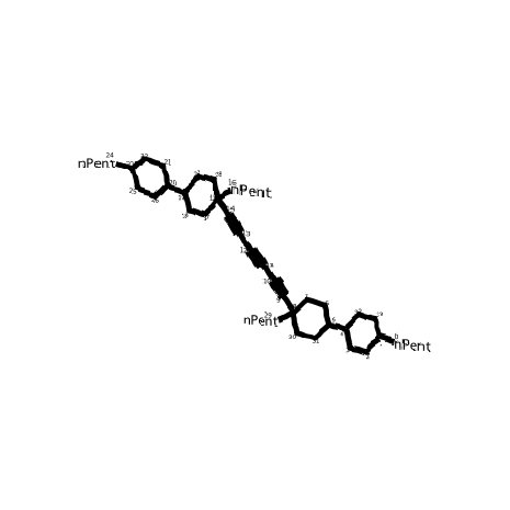 CCCCCC1CCC(C2CCC(C#CC#CC#CC3(CCCCC)CCC(C4CCC(CCCCC)CC4)CC3)(CCCCC)CC2)CC1